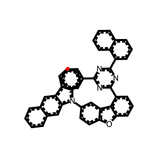 c1ccc(-c2nc(-c3cccc4ccccc34)nc(-c3cccc4oc5ccc(-n6c7ccccc7c7cc8ccccc8cc76)cc5c34)n2)cc1